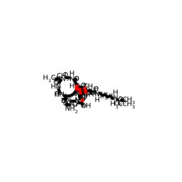 CC[C@H](C)[C@@H]1NC(=O)CNC(=O)C2Cc3c([nH]c4cc(O)ccc34)CCCC(NC(=O)CNC1=O)C(=O)N[C@@H](CC(N)=O)C(=O)N1CC(O)C[C@H]1C(=O)N[C@@H]([C@@H](C)[C@@H](O)COC(=O)NCCCCCCNC(=O)OC(C)(C)C)C(=O)N2